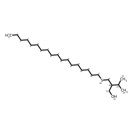 CCCCCCCCCCCCCCCCCCSCC(CO)C(C)C